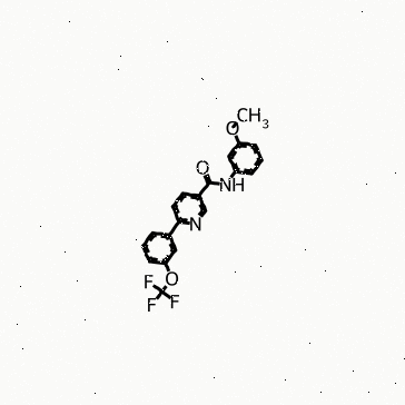 COc1cccc(NC(=O)c2ccc(-c3cccc(OC(F)(F)F)c3)nc2)c1